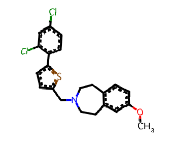 COc1ccc2c(c1)CCN(Cc1ccc(-c3ccc(Cl)cc3Cl)s1)CC2